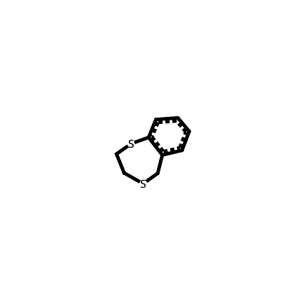 c1ccc2c(c1)CSCCS2